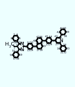 CCC1C(c2ccccc2)=NC(c2ccc(-c3cccc4c(-c5ccc(-c6cc(-c7ccccc7)nc(-c7ccccc7)c6)cc5)cccc34)cc2)=NC1c1ccccc1